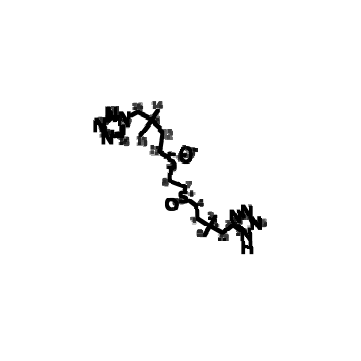 CC(C)(CC[S+]([O-])CC[S+]([O-])CCC(C)(C)Cn1cnnn1)Cc1nnn[nH]1